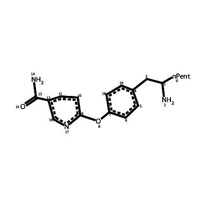 CCCCCC(N)Cc1ccc(Oc2ccc(C(N)=O)cn2)cc1